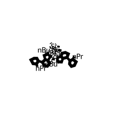 CCCCC1=Cc2c(-c3ccccc3CCC)cccc2[CH]1[Zr]([Cl])([Cl])([BH]N([Si](C)(C)C)[Si](C)(C)C)[CH]1C(CCCC)=Cc2c(-c3ccccc3CCC)cccc21